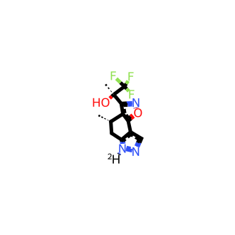 [2H]n1ncc2c1C[C@H](C)c1c([C@@](C)(O)C(F)(F)F)noc1-2